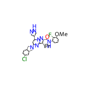 COc1cccc(NC(=O)c2nn3c(-c4cn[nH]c4)cc(N4Cc5ccc(Cl)cc5C4)nc3c2C(C)C)c1F